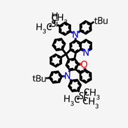 C[SiH](C)c1ccc(N(c2ccc(C(C)(C)C)cc2)c2cc3c(c4ncccc24)-c2c(cc(N(c4ccc(C(C)(C)C)cc4)c4ccc([Si](C)(C)C)cc4)c4c2oc2ccccc24)C3(c2ccccc2)c2ccccc2)cc1